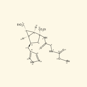 CCOC(=O)[C@H]1[C@H]2[C@@H]1[C@](NC(=O)CNC(=O)OC(C)(C)C)(C(=O)OCC)C[C@H]2Sc1cn[nH]n1